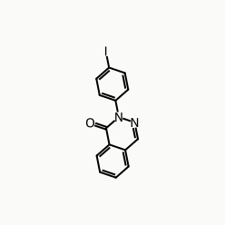 O=c1c2ccccc2cnn1-c1ccc(I)cc1